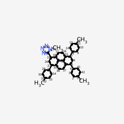 Cc1ccc(-c2cc(-c3ccc(C)cc3)c3ccc4c(-c5nnnn5C)cc(-c5ccc(C)cc5)c5ccc2c3c54)cc1